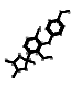 CCc1ccc(Cc2c(Cl)ccc(C3(C)CC(C)C(C)O3)c2CC)cc1